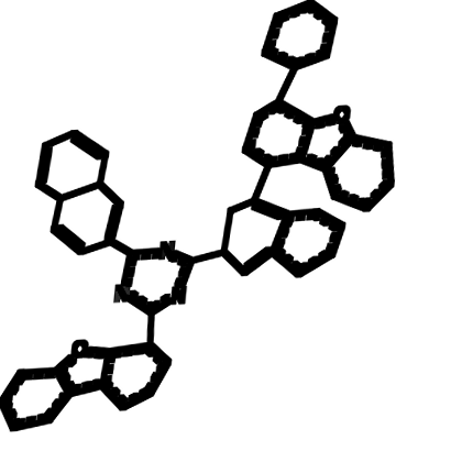 C1=CC2C=CC(c3nc(-c4cccc5c4oc4ccccc45)nc(C4C=c5ccccc5=C(c5ccc(-c6ccccc6)c6oc7ccccc7c56)C4)n3)=CC2C=C1